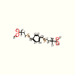 COC(=O)C(C)(C)CCSCc1ccc(CSCCC(C)(C)C(=O)OC)cc1